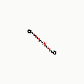 O=C(CCCCC(=O)OCCOCCOCCc1ccccc1)OCCOCCOCCc1ccccc1